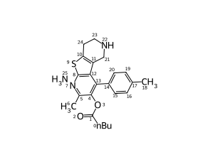 CCCCC(=O)Oc1c(C)nc2sc3c(c2c1-c1ccc(C)cc1)CNCC3.N